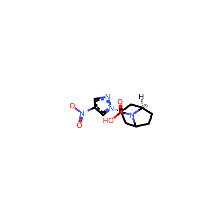 O=C(O)N1C2CC[C@@H]1C[C@@H](n1cc([N+](=O)[O-])cn1)C2